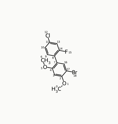 COc1cc(OC)c(-c2ccc(Cl)cc2F)cc1Br